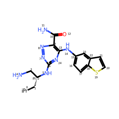 CC(C)C[C@H](CN)Nc1nnc(C(N)=O)c(Nc2ccc3sccc3c2)n1